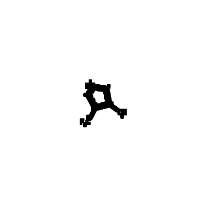 N#Cc1c[nH]cc1C(F)(F)F